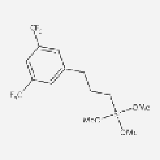 CO[Si](CCCc1cc(C(F)(F)F)cc(C(F)(F)F)c1)(OC)OC